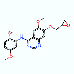 COc1ccc(Br)c(Nc2ncnc3cc(OC[C@H]4CO4)c(OC)cc23)c1